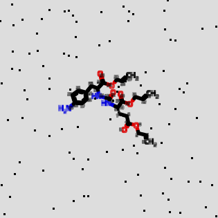 C=CCOC(=O)CC[C@H](NC(=O)NC(Cc1ccc(N)cc1)C(=O)OCC=C)C(=O)OCC=C